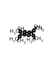 Cc1ccc(N(c2ccc(C(C)C)cc2)c2ccc3c4cccc5c(N(c6ccc(C(C)C)cc6)c6ccc(C(C)C)cc6)ccc(c6cccc2c63)c54)cc1C